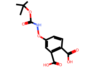 CC(C)(C)OC(=O)NOc1ccc(C(=O)O)c(C(=O)O)c1